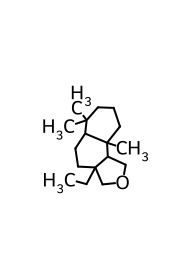 CCC12CCC3C(C)(C)CCCC3(C)C1COC2